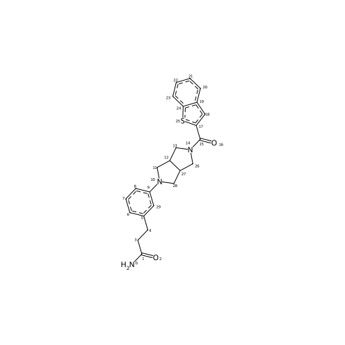 NC(=O)CCc1cccc(N2CC3CN(C(=O)c4cc5ccccc5s4)CC3C2)c1